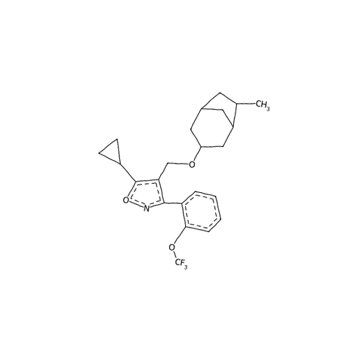 CC1CC2CC(OCc3c(-c4ccccc4OC(F)(F)F)noc3C3CC3)CC1C2